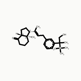 CC(=CCc1cccc(C(C)(CO)[Si](C)(C)C)c1)[C@H]1CC[C@H]2C(=O)CCC[C@]12C